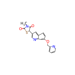 CN1C(=O)SC(c2cnc3cc(OCc4ccccn4)ccc3c2)C1=O